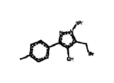 CCCn1nc(-c2ccc(C)cc2)c(O)c1CC(C)C